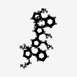 CC[C@@H]1CCCP1c1ccccc1P1[C@H](CC)CC(C2C[C@@H](CC)P(c3ccccc3P3[C@H](P)CC[C@H]3P)[C@@H]2P)[C@H]1CC